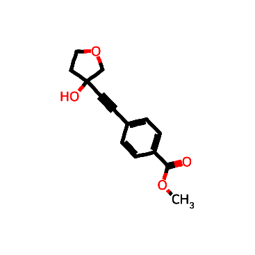 COC(=O)c1ccc(C#CC2(O)CCOC2)cc1